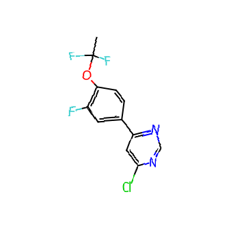 CC(F)(F)Oc1ccc(-c2cc(Cl)ncn2)cc1F